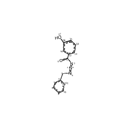 O=C(N=[N+]=NCc1ccccn1)c1cccc(O)c1